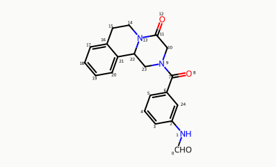 O=CNc1cccc(C(=O)N2CC(=O)N3CCc4ccccc4C3C2)c1